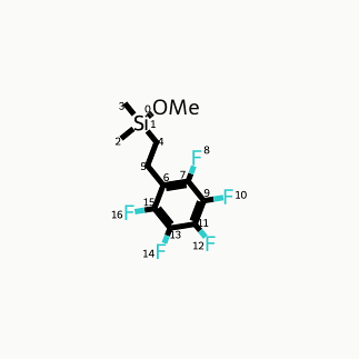 CO[Si](C)(C)CCc1c(F)c(F)c(F)c(F)c1F